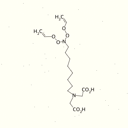 C=COON(CCCCCCCCN(CC(=O)O)CC(=O)O)OOC=C